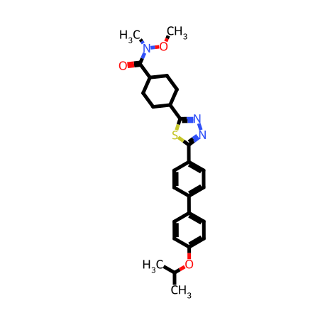 CON(C)C(=O)C1CCC(c2nnc(-c3ccc(-c4ccc(OC(C)C)cc4)cc3)s2)CC1